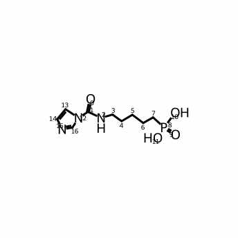 O=C(NCCCCCP(=O)(O)O)n1ccnc1